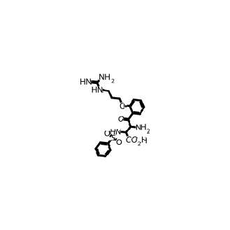 N=C(N)NCCCOc1ccccc1C(=O)C(N)C(NS(=O)(=O)c1ccccc1)C(=O)O